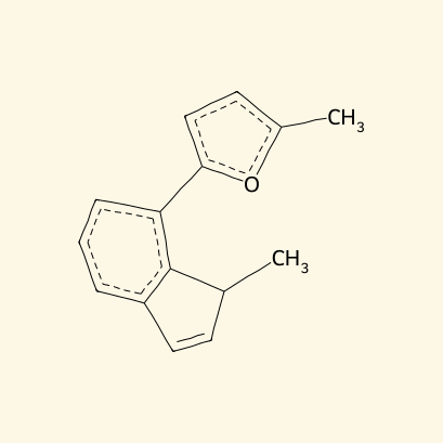 Cc1ccc(-c2cccc3c2C(C)C=C3)o1